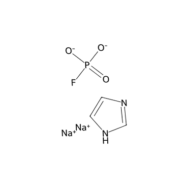 O=P([O-])([O-])F.[Na+].[Na+].c1c[nH]cn1